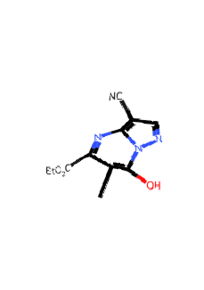 CCOC(=O)c1nc2c(C#N)cnn2c(O)c1C